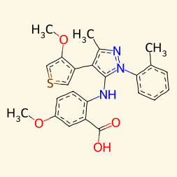 COc1ccc(Nc2c(-c3cscc3OC)c(C)nn2-c2ccccc2C)c(C(=O)O)c1